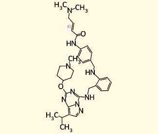 CC(C)c1cnn2c(NCc3ccccc3NCc3ccc(NC(=O)/C=C/CN(C)C)cc3)nc(OC3CCN(C)CC3)nc12